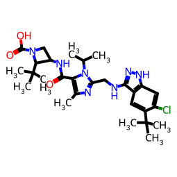 Cc1nc(CNc2n[nH]c3cc(Cl)c(C(C)(C)C)cc23)n(C(C)C)c1C(=O)NC1CN(C(=O)O)C1C(C)(C)C